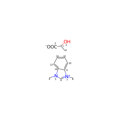 CC(O)C(=O)[O-].Cn1c[n+](C)c2ccccc21